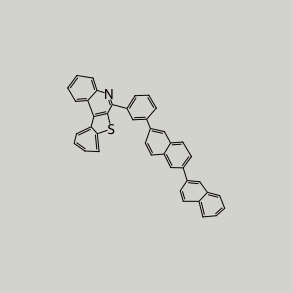 c1cc(-c2ccc3cc(-c4ccc5ccccc5c4)ccc3c2)cc(-c2nc3ccccc3c3c2sc2ccccc23)c1